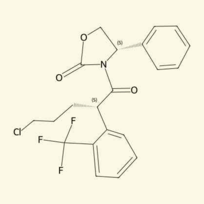 O=C1OC[C@H](c2ccccc2)N1C(=O)[C@@H](CCCCl)c1ccccc1C(F)(F)F